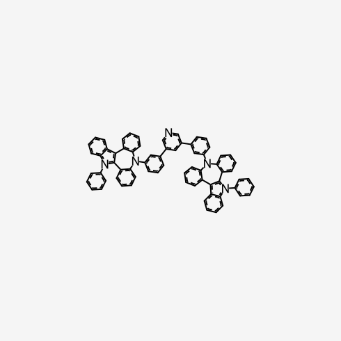 c1ccc(-n2c3c(c4ccccc42)-c2ccccc2N(c2cccc(-c4cncc(-c5cccc(N6c7ccccc7-c7c(n(-c8ccccc8)c8ccccc78)-c7ccccc76)c5)c4)c2)c2ccccc2-3)cc1